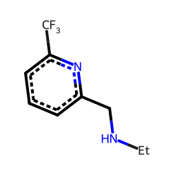 CCNCc1cccc(C(F)(F)F)n1